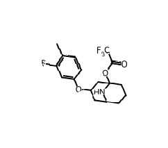 Cc1ccc(OC2CC3CCCC(OC(=O)C(F)(F)F)(C2)N3)cc1F